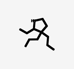 CCCC1(CCC)CCNC1CC